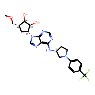 COC[C@H]1C[C@@H](n2cnc3c(N[C@H]4CCN(c5ccc(C(F)(F)F)cc5)C4)ncnc32)[C@H](O)[C@@H]1O